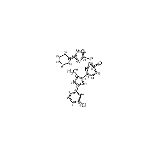 Cc1nc(-c2cccc(Cl)c2)sc1-c1ccc(=O)n(Cc2nc(N3CCCCC3)no2)n1